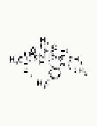 CCC(C)[C@H](c1ccc(C)cc1C)[C@H](C)OC(=O)[C@H](C)NC(=O)OC(C)(C)C